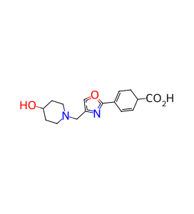 O=C(O)C1C=CC(c2nc(CN3CCC(O)CC3)co2)=CC1